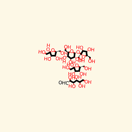 O=C[C@H](O)[C@@H](O)[C@H](O)[C@H](O)CO.OC[C@H]1O[C@@](CO)(O[C@H]2O[C@H](CO)[C@@H](O)[C@H](O)[C@H]2O)[C@@H](O)[C@@H]1O.OC[C@H]1O[C@](O)(CO)[C@@H](O)[C@@H]1O.OC[C@H]1O[C@](O)(CO)[C@@H](O)[C@@H]1O